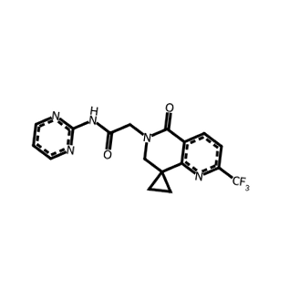 O=C(CN1CC2(CC2)c2nc(C(F)(F)F)ccc2C1=O)Nc1ncccn1